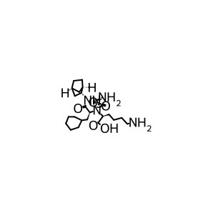 NCCCC[C@@H](C(=O)O)N([C@@H](CC1CCCCC1)C(=O)N[C@@H]1C[C@H]2CC[C@@H]1C2)S(N)(=O)=O